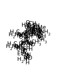 CC[C@H]1O[C@@H](n2cnc3c(=O)[nH]c(N)nc32)CC1OP(=O)(S)OC[C@H]1O[C@@H](n2cc(C)c(N)nc2=O)CC1OP(=O)(S)OC[C@H]1O[C@@H](n2cc(C)c(=O)[nH]c2=O)CC1OP(=O)(S)OC[C@H]1O[C@@H](n2cc(C)c(N)nc2=O)CC1OP(=O)(S)OC[C@H]1O[C@@H](n2cc(C)c(=O)[nH]c2=O)CC1OP(=O)(S)OC[C@H]1O[C@@H](n2cc(C)c(=O)[nH]c2=O)CC1OP(=O)(S)OC[C@H]1O[C@@H](n2cnc3c(N)ncnc32)CC1OP(=O)(S)OC